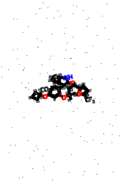 CCOC(=O)C1(Oc2ccc3c(c2)OC(C)(C)C(Cc2ccc(C(F)(F)F)o2)[C@]32C(=O)Nc3ccccc32)CCC1